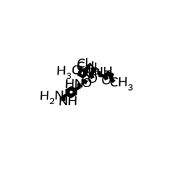 Cc1ccc(CNc2nc(Cl)c3n(c2=O)[C@H](C(=O)NCc2ccc(C(=N)N)cc2)CC3(C)C)o1